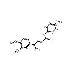 COc1ncc(C(C)COC(=O)Oc2ccc([N+](=O)[O-])cc2)cc1C(F)(F)F